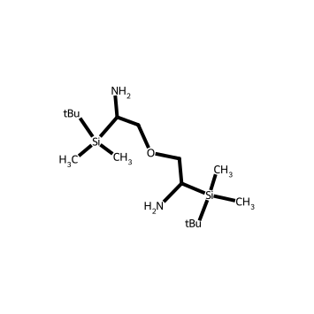 CC(C)(C)[Si](C)(C)C(N)COCC(N)[Si](C)(C)C(C)(C)C